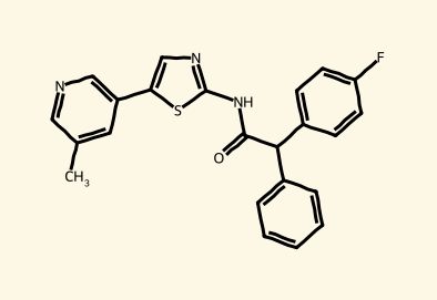 Cc1cncc(-c2cnc(NC(=O)C(c3ccccc3)c3ccc(F)cc3)s2)c1